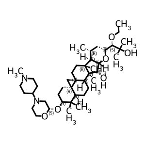 CCO[C@@H]([C@H]1C[C@@H](C)[C@H]2[C@H](O1)[C@H](O)[C@@]1(C)[C@@H]3CC[C@H]4C(C)(C)[C@@H](O[C@H]5CN(C6CCN(C)CC6)CCO5)CC[C@@]45C[C@@]35CC[C@]21C)C(C)(C)O